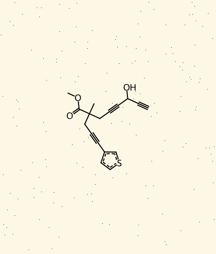 C#CC(O)C#CCC(C)(CC#Cc1ccsc1)C(=O)OC